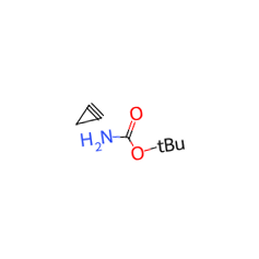 C1#CC1.CC(C)(C)OC(N)=O